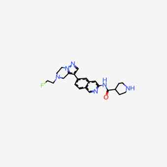 O=C(Nc1cc2cc(-c3cnn4c3CN(CCF)CC4)ccc2cn1)C1CCNCC1